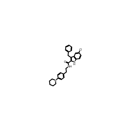 O=C(NCCc1ccc(N2CCCCC2)cc1)c1[nH]c2ccc(Cl)cc2c1Cc1ccccc1